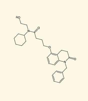 O=C1CCc2c(OCCCC(=O)N(CCO)C3CCCCC3)cccc2N1Cc1ccccc1